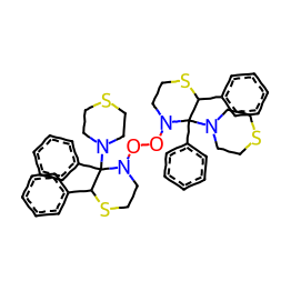 c1ccc(C2SCCN(OON3CCSC(c4ccccc4)C3(c3ccccc3)N3CCSCC3)C2(c2ccccc2)N2CCSCC2)cc1